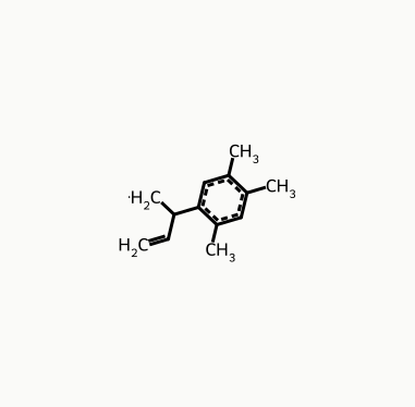 [CH2]C(C=C)c1cc(C)c(C)cc1C